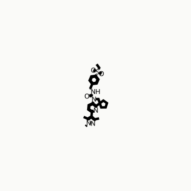 CCS(=O)(=O)c1ccc(CNC(=O)N2CC3(CCCC3)c3nc(-c4c(C)nn(C)c4C)ccc32)cc1